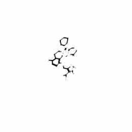 C[C@H]1CCCC[C@H]1C(=O)N1CCc2c(Cl)cc(F)c(OCc3nnn(C)c3C(F)F)c2[C@H]1CN1CCOCC1=O